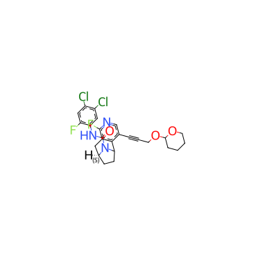 O=C(Nc1cc(Cl)c(Cl)cc1F)N1C2CC[C@H]1Cc1c(F)ncc(C#CCOC3CCCCO3)c12